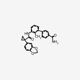 Cc1c(NC(=O)C2(c3ccc4c(c3)OCO4)CC2)cccc1-c1ccc(C(N)=O)cc1